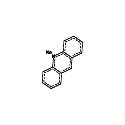 [Ne].c1ccc2nc3ccccc3cc2c1